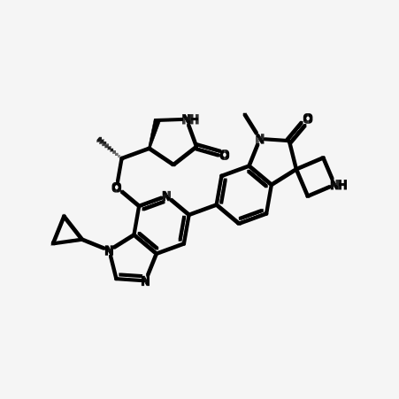 C[C@@H](Oc1nc(-c2ccc3c(c2)N(C)C(=O)C32CNC2)cc2ncn(C3CC3)c12)[C@H]1CNC(=O)C1